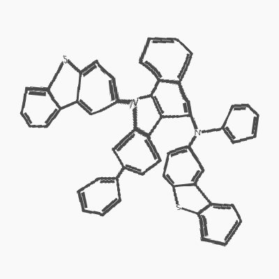 c1ccc(-c2ccc3c4c(N(c5ccccc5)c5ccc6sc7ccccc7c6c5)cc5ccccc5c4n(-c4ccc5sc6ccccc6c5c4)c3c2)cc1